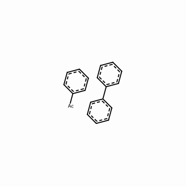 CC(=O)c1ccccc1.c1ccc(-c2ccccc2)cc1